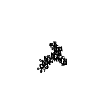 CN(C(=O)OC(C)(C)C)c1ncc(-c2nc(N3CCOCC3)c3nc(Cl)n(CC(F)(F)F)c3n2)cn1